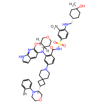 CC(C)c1ccccc1N1CCOC[C@H]1C1CC2(CCN(c3ccc(C(=O)NS(=O)(=O)c4ccc(NC[C@H]5CC[C@](C)(O)CC5)c([N+](=O)[O-])c4)c(N4c5cc6cc[nH]c6nc5O[C@H]5COCC[C@@H]54)c3)CC2)C1